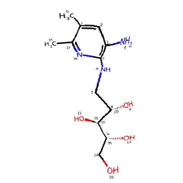 Cc1cc(N)c(NC[C@H](O)[C@H](O)[C@H](O)CO)nc1C